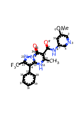 COc1cncc(NC(=O)c2c(C)[nH]c3c(-c4ccccc4)c(C(F)(F)F)nn3c2=O)c1